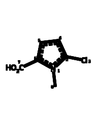 Cn1c(Cl)ccc1C(=O)O